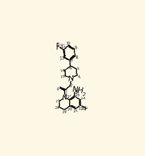 C=C(CN1CCC(c2cccc(F)c2)CC1)N1CCCc2cc(F)cc(N)c21